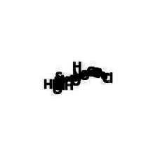 O=C(CCCCC1CSCC2NC(=O)NC12)NCCOCCOc1ccc(CCCl)cc1